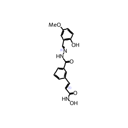 COc1ccc(O)c(/C=N/NC(=O)c2cccc(/C=C/C(=O)NO)c2)c1